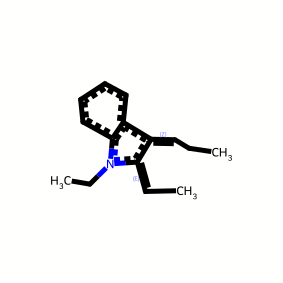 C/C=c1\c(=C/CC)c2ccccc2n1CC